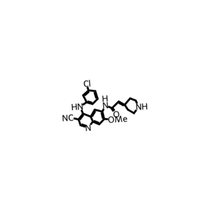 COc1cc2ncc(C#N)c(Nc3cccc(Cl)c3)c2cc1NC(=O)C=C1CCNCC1